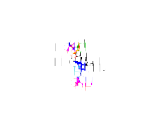 CC(C)c1nn(C/C(F)=C/CNC(=O)O)c(C(C)C)c1Cc1ccc(S(=O)(=O)N(C)C)c(Cl)c1